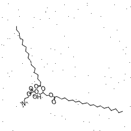 CCCCCCCCCCCCCCCCCCCC(=O)OCC(COP(=O)(O)OCC[N+](C)(C)C)OC(=O)CCCCCCCCCCCCCCCCC